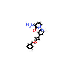 Nc1cccn(-c2cc(C3CC(OCc4ccccc4)C3)ccn2)c1=O